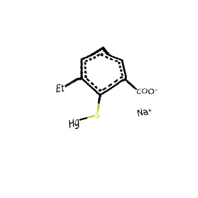 CCc1cccc(C(=O)[O-])c1[S][Hg].[Na+]